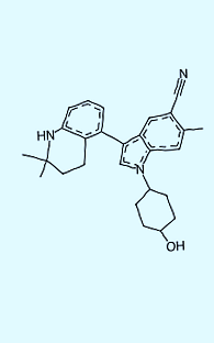 Cc1cc2c(cc1C#N)c(-c1cccc3c1CCC(C)(C)N3)cn2C1CCC(O)CC1